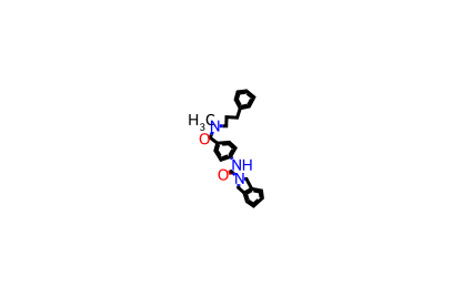 CN(CCCc1ccccc1)C(=O)c1ccc(NC(=O)N2Cc3ccccc3C2)cc1